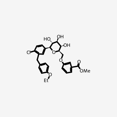 CCOc1ccc(Cc2cc([C@@H]3O[C@H](COc4cccc(C(=O)OC)c4)[C@@H](O)[C@H](O)[C@H]3O)ccc2Cl)cc1